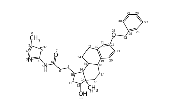 Cc1cnc(NC(=O)CCC2CC(O)C3(C)CCC4c5ccc(OCc6ccccc6)cc5CCC4C23)s1